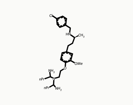 CCCC(N)N(CCOc1ccc(CC[C@H](C)NCc2ccc(Cl)cc2)cc1OC)C(N)CCC